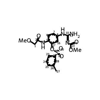 COCC(=O)Nc1ccc(NC(N)=NC(=O)OC)cc1OS(=O)(=O)c1cccc(C)c1